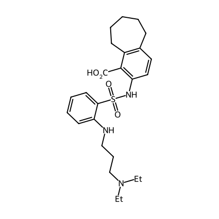 CCN(CC)CCCNc1ccccc1S(=O)(=O)Nc1ccc2c(c1C(=O)O)CCCCC2